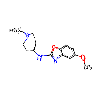 CCOC(=O)N1CCC(Nc2nc3cc(OC(F)(F)F)ccc3o2)CC1